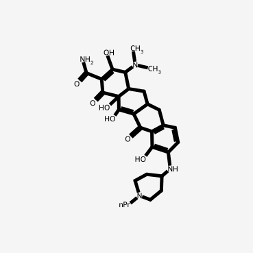 CCCN1CCC(Nc2ccc3c(c2O)C(=O)C2=C(O)C4(O)C(=O)C(C(N)=O)=C(O)C(N(C)C)C4CC2C3)CC1